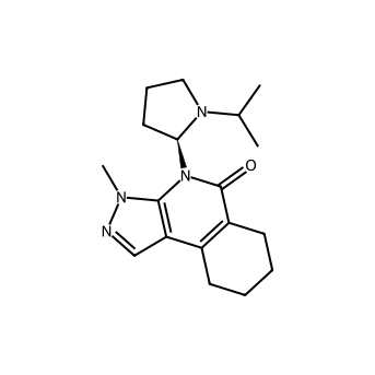 CC(C)N1CCC[C@@H]1n1c(=O)c2c(c3cnn(C)c31)CCCC2